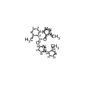 Cc1cccc(-n2nnn(C)c2=O)c1COc1ccn(-c2ccsc2C)n1